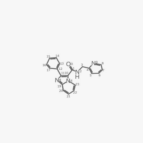 O=C(NCc1ccccn1)c1c(-c2ccccc2)nc2ccccn12